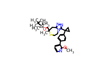 COc1ncccc1-c1ccc(C2(c3nnc4n3CCSC(C)(CO[Si](C)(C)C(C)(C)C)C4)CC2)cc1